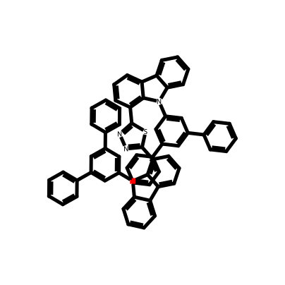 c1ccc(-c2cc(-c3ccccc3)cc(-n3c4ccccc4c4cccc(-c5nnc(-c6cccc7c8ccccc8n(-c8cc(-c9ccccc9)cc(-c9ccccc9)c8)c67)s5)c43)c2)cc1